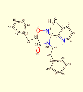 Cc1cccnc1C1=NOC(Cc2ccccc2)C(=O)N1CCc1ccccc1